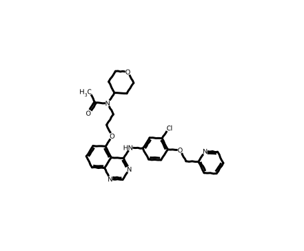 CC(=O)N(CCOc1cccc2ncnc(Nc3ccc(OCc4ccccn4)c(Cl)c3)c12)C1CCOCC1